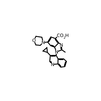 Cc1nc2c(C(=O)O)cc(N3CCOCC3)cc2n1-c1c(C2CC2)cnc2ccccc12